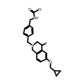 CCC(=O)NCc1ccc(CN2Cc3ccc(OCC4CC4)cc3C(F)C2)cc1